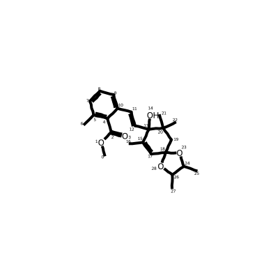 COC(=O)c1c(C)cccc1/C=C/C1(O)C(C)=CC2(CC1(C)C)OC(C)C(C)O2